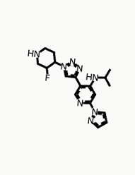 CC(C)Nc1cc(-n2cccn2)ncc1-c1cn(C2CCNCC2F)nn1